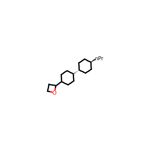 CCC[C@H]1CC[C@H](C2CCC(C3CCO3)CC2)CC1